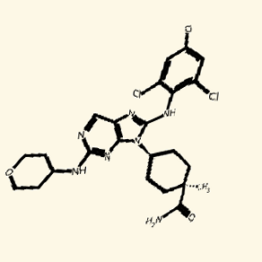 C[C@]1(C(N)=O)CC[C@@H](n2c(Nc3c(Cl)cc(Cl)cc3Cl)nc3cnc(NC4CCOCC4)nc32)CC1